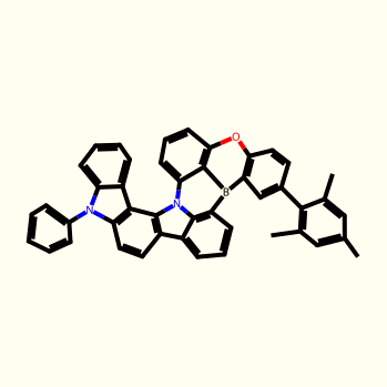 Cc1cc(C)c(-c2ccc3c(c2)B2c4c(cccc4-n4c5c2cccc5c2ccc5c(c6ccccc6n5-c5ccccc5)c24)O3)c(C)c1